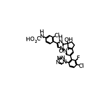 O=C(O)Nc1ccc(-c2cnc(C3(O)CCc4cc(-c5c(-n6cnnn6)ccc(Cl)c5F)c[n+]([O-])c43)[nH]2)c(Cl)c1